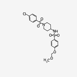 COCOc1ccc(S(=O)(=O)NC2CCN(S(=O)(=O)c3ccc(Cl)cc3)CC2)cc1